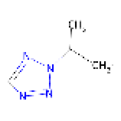 [CH2]C(C)n1ncnn1